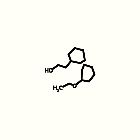 CCOC1CCCCC1.OCCC1CCCCC1